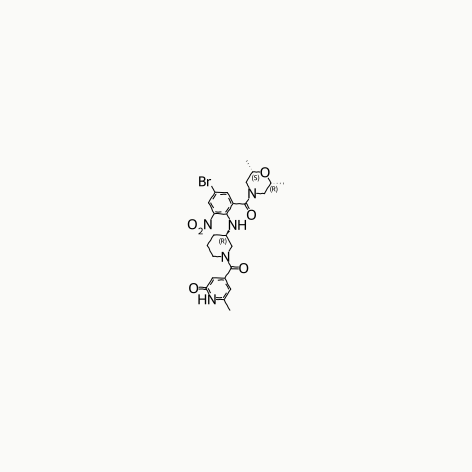 Cc1cc(C(=O)N2CCC[C@@H](Nc3c(C(=O)N4C[C@@H](C)O[C@@H](C)C4)cc(Br)cc3[N+](=O)[O-])C2)cc(=O)[nH]1